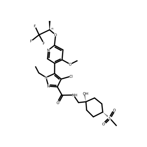 CCn1nc(C(=O)NC[C@]2(O)CC[C@@H](S(C)(=O)=O)CC2)c(Cl)c1-c1cnc(O[C@H](C)C(F)(F)F)cc1OC